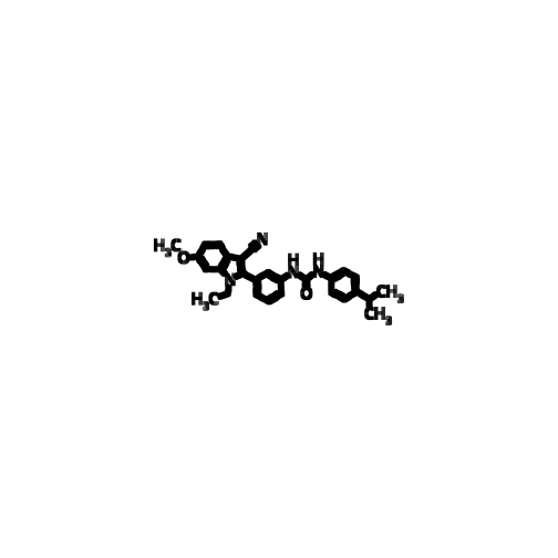 CCn1c(-c2cccc(NC(=O)Nc3ccc(C(C)C)cc3)c2)c(C#N)c2ccc(OC)cc21